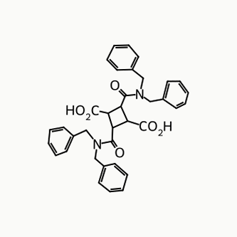 O=C(O)C1C(C(=O)N(Cc2ccccc2)Cc2ccccc2)C(C(=O)O)C1C(=O)N(Cc1ccccc1)Cc1ccccc1